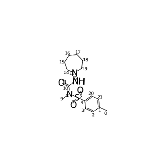 Cc1ccc(S(=O)(=O)N(C)C(=O)NN2CCCCCC2)cc1